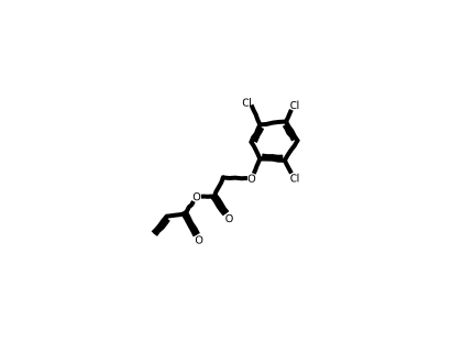 C=CC(=O)OC(=O)COc1cc(Cl)c(Cl)cc1Cl